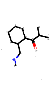 CNCC1CCCCC1C(=O)C(C)C